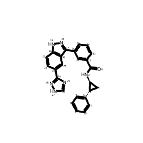 O=C(N[C@H]1C[C@@H]1c1ccccc1)c1cccc(-c2n[nH]c3ccc(-c4nc[nH]n4)cc23)c1